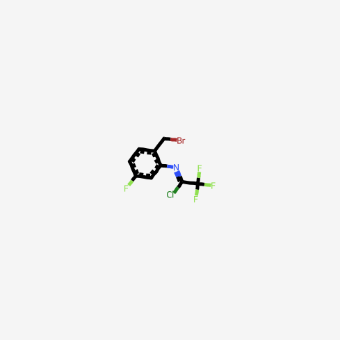 Fc1ccc(CBr)c(N=C(Cl)C(F)(F)F)c1